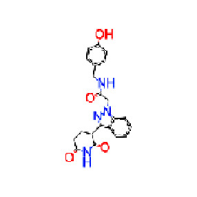 O=C(Cn1nc(C2CCC(=O)NC2=O)c2ccccc21)NCc1ccc(O)cc1